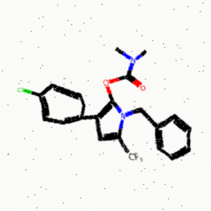 CN(C)C(=O)Oc1c(-c2ccc(Cl)cc2)cc(C(F)(F)F)n1Cc1ccccc1